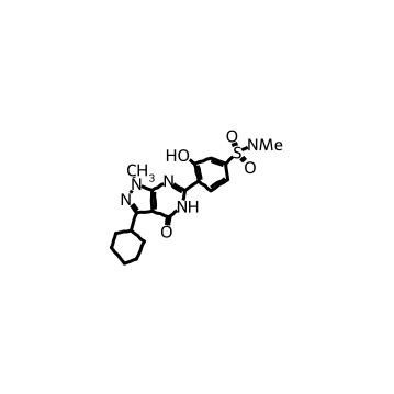 CNS(=O)(=O)c1ccc(-c2nc3c(c(C4CCCCC4)nn3C)c(=O)[nH]2)c(O)c1